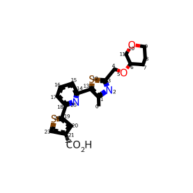 Cc1nc(COC2CCCOC2)sc1-c1cccc(-c2cc(C(=O)O)cs2)n1